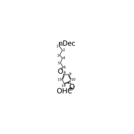 CCCCCCCCCCCCCCCCOc1ccc(OC=O)cc1